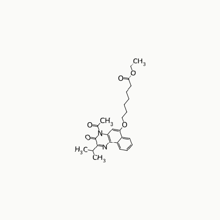 CCOC(=O)CCCCCCOc1cc2c(nc(C(C)C)c(=O)n2C(C)=O)c2ccccc12